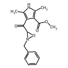 COC(=O)c1c(C)[nH]c(C)c1C(=O)C1ON1Cc1ccccc1